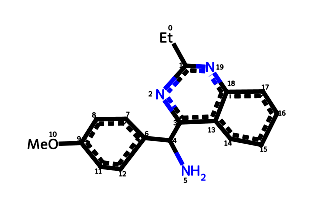 CCc1nc(C(N)c2ccc(OC)cc2)c2ccccc2n1